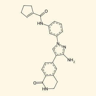 Nc1nn(-c2cccc(NC(=O)C3=CCCC3)c2)cc1-c1ccc2c(c1)CCNC2=O